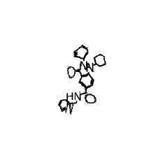 O=C(NCc1ccccn1)c1ccc2c(c1)c(=O)n(-c1ccccc1)n2C1CCCCC1